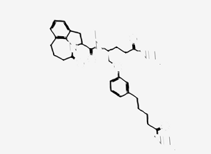 NC(=O)CCCCc1cccc(OC[C@H](CCC(N)=O)NC(=O)C2Cc3cccc4c3N2C(=O)CCC4)c1